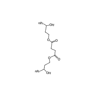 CCCC(O)CCOC(=O)CCC(=O)OCCC(O)CCC